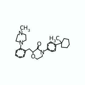 CN1CCN(c2ccccc2CC2OCCN(c3ccc(C4(C)CCCCC4)cc3)C2=O)CC1